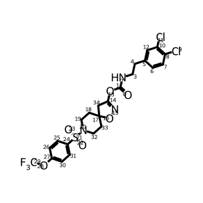 O=C(NCCc1ccc(Cl)c(Cl)c1)OC1=NOC2(CCN(S(=O)(=O)c3ccc(OC(F)(F)F)cc3)CC2)C1